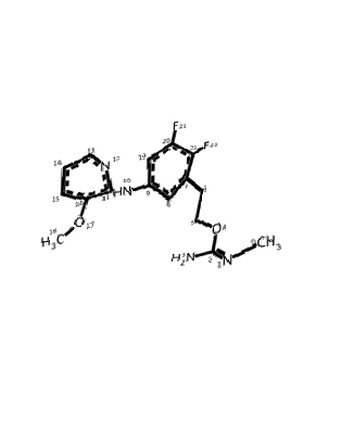 C/N=C(/N)OCCc1cc(Nc2ncccc2OC)cc(F)c1F